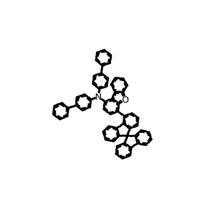 c1ccc(-c2ccc(N(c3ccc(-c4ccccc4)cc3)c3ccc(-c4cccc5c4-c4ccccc4C54c5ccccc5-c5ccccc54)c4oc5ccccc5c34)cc2)cc1